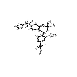 COc1cc(C(F)(F)F)ccc1C1CC(C)(C)Oc2cc(S(=O)(=O)Nc3nccs3)ccc21